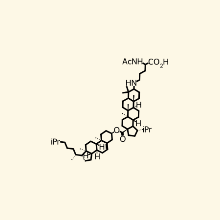 CC(=O)NC(CCCNC1CC[C@@]2(C)C(CC[C@]3(C)[C@@H]2CC[C@@H]2C4[C@H](C(C)C)CC[C@]4(C(=O)O[C@@H]4CC[C@@]5(C)C(=CC[C@H]6[C@@H]7CC[C@H]([C@H](C)CCCC(C)C)[C@@]7(C)CC[C@@H]65)C4)CC[C@]23C)C1(C)C)C(=O)O